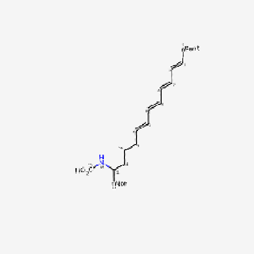 CCCCCC=CC=CC=CC=CCCCC(CCCCCCCCC)NC(=O)O